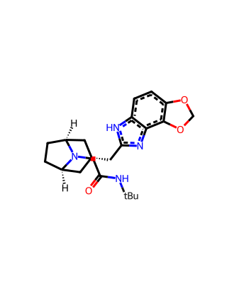 CC(C)(C)NC(=O)CN1[C@@H]2CC[C@H]1C[C@H](Cc1nc3c4c(ccc3[nH]1)OCO4)C2